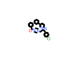 O=C(c1ccccc1)N1CCN(Cc2c(-c3ccc(Cl)cc3)nc3ccc(-c4ccccc4)cn23)CC1